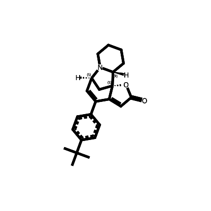 CC(C)(C)c1ccc(C2=C[C@@H]3C[C@@]4(OC(=O)C=C24)[C@H]2CCCCN32)cc1